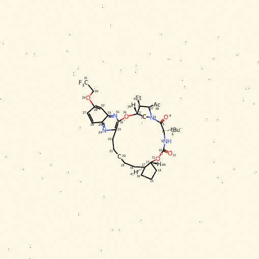 CC[C@@H]1[C@@H]2CN(C(=O)[C@H](C(C)(C)C)NC(=O)O[C@@H]3CCC[C@H]3CCCCCc3nc4ccc(OCC(F)(F)F)cc4nc3O2)[C@@H]1C(C)=O